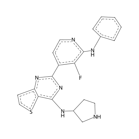 Fc1c(-c2nc(NC3CCNC3)c3sccc3n2)ccnc1Nc1ccccc1